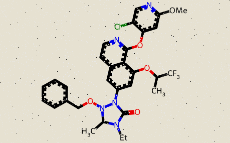 CCN1C(=O)N(c2cc(OC(C)C(F)(F)F)c3c(Oc4cc(OC)ncc4Cl)nccc3c2)N(OCc2ccccc2)C1C